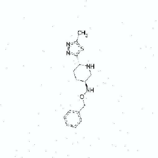 Cc1nnc([C@H]2CC[C@H](NOCc3ccccc3)CN2)s1